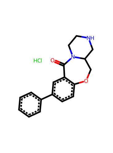 Cl.O=C1c2cc(-c3ccccc3)ccc2OCC2CNCCN12